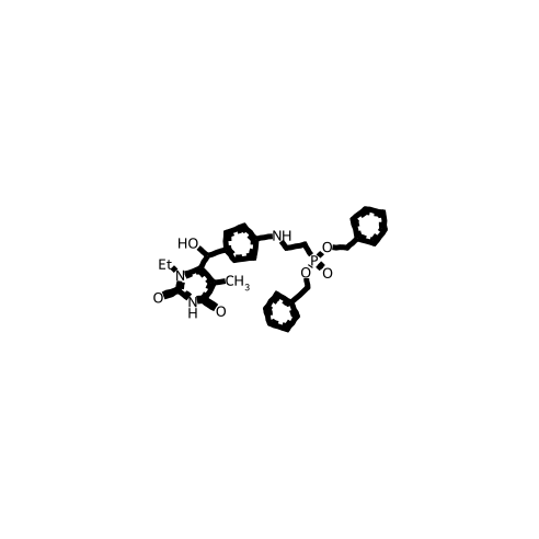 CCn1c(C(O)c2ccc(NCCP(=O)(OCc3ccccc3)OCc3ccccc3)cc2)c(C)c(=O)[nH]c1=O